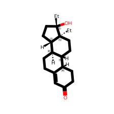 CC[C@]1(O)CC[C@H]2[C@@H]3CCC4=CC(=O)CC[C@@H]4[C@H]3CC[C@@]21CC